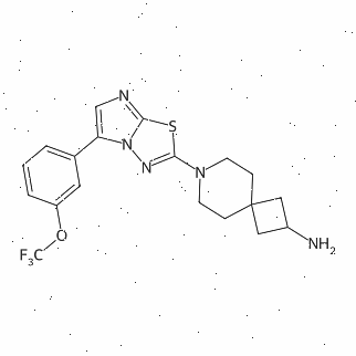 NC1CC2(CCN(c3nn4c(-c5cccc(OC(F)(F)F)c5)cnc4s3)CC2)C1